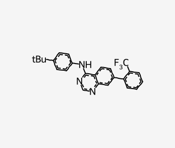 CC(C)(C)c1ccc(Nc2ncnc3cc(-c4ccccc4C(F)(F)F)ccc23)cc1